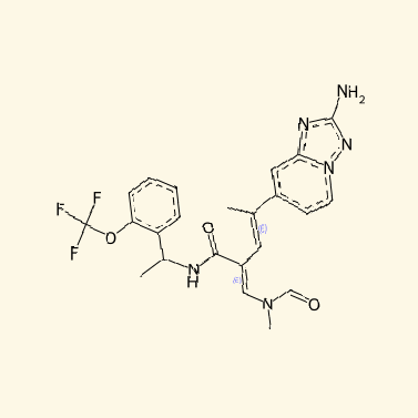 C/C(=C\C(=C/N(C)C=O)C(=O)NC(C)c1ccccc1OC(F)(F)F)c1ccn2nc(N)nc2c1